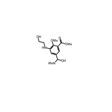 CNC(O)c1cc(NCCO)c(OC)c(C(=O)OC)c1